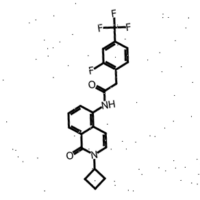 O=C(Cc1ccc(C(F)(F)F)cc1F)Nc1cccc2c(=O)n(C3CCC3)ccc12